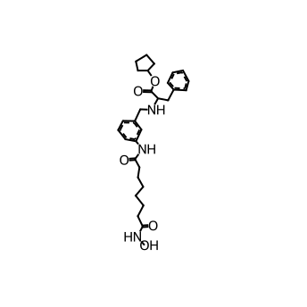 O=C(CCCCCCC(=O)Nc1cccc(CNC(Cc2ccccc2)C(=O)OC2CCCC2)c1)NO